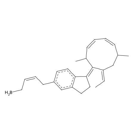 BC/C=C\Cc1ccc2c(c1)CC/C2=C1\C(=C/C)CC(C)/C=C\C=C/C1C